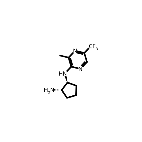 Cc1nc(C(F)(F)F)cnc1N[C@H]1CCC[C@@H]1N